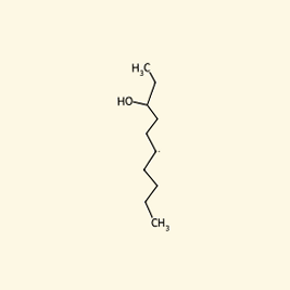 CCCC[CH]CCC(O)CC